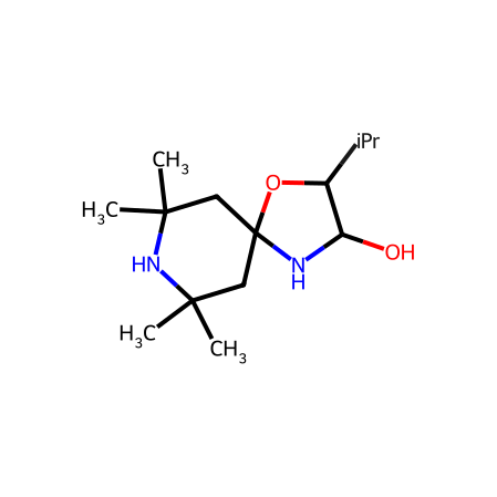 CC(C)C1OC2(CC(C)(C)NC(C)(C)C2)NC1O